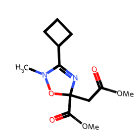 COC(=O)CC1(C(=O)OC)N=C(C2CCC2)N(C)O1